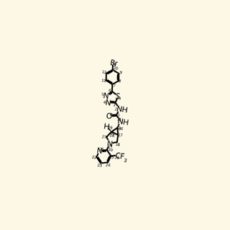 O=C(Nc1nnc(-c2ccc(Br)cc2)s1)N[C@H]1C2CN(c3ncccc3C(F)(F)F)C[C@@H]21